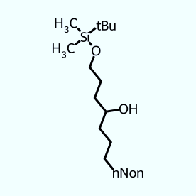 CCCCCCCCCCCCC(O)CCCO[Si](C)(C)C(C)(C)C